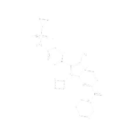 N#Cc1c(-c2ccc(NS(=O)(=O)C3CC3)cc2)n(C2CCC2)c2cc(C(=O)N3CCCCC3)ccc12